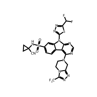 N#CC1(NS(=O)(=O)c2ccc3c4c(N5CCn6c(nnc6C(F)(F)F)C5)ncnc4n(-c4nnc(C(F)F)s4)c3c2)CC1